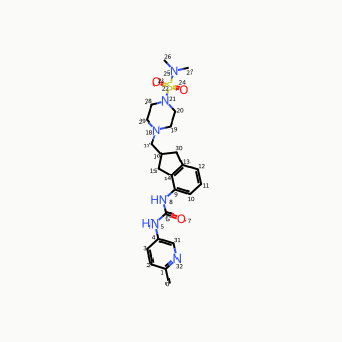 Cc1ccc(NC(=O)Nc2cccc3c2CC(CN2CCN(S(=O)(=O)N(C)C)CC2)C3)cn1